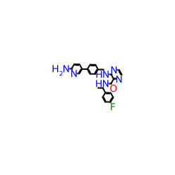 CC(NC(=O)c1nccnc1NCc1ccc(-c2ccc(N)nc2)cc1)c1ccc(F)cc1